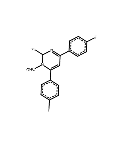 CC(C)C1N=C(c2ccc(F)cc2)C=C(c2ccc(F)cc2)N1C=O